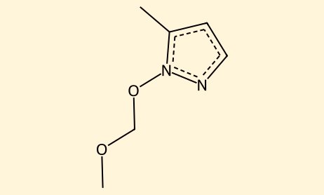 COCOn1nccc1C